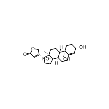 C[C@]12CC[C@H]3[C@@H](CCC4=C[C@@H](O)CC[C@@]43CO)[C@@]1(O)CC[C@@H]2C1=CC(=O)OC1